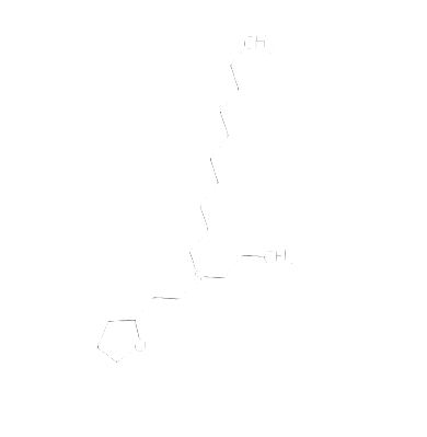 C[CH]C[S+](CCCCCCCCCC)CCC1CCCO1